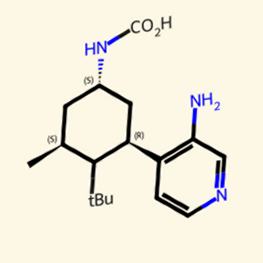 C[C@H]1C[C@H](NC(=O)O)C[C@@H](c2ccncc2N)C1C(C)(C)C